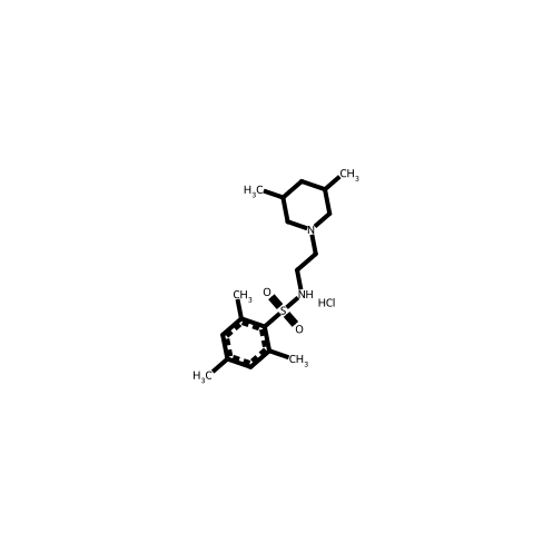 Cc1cc(C)c(S(=O)(=O)NCCN2CC(C)CC(C)C2)c(C)c1.Cl